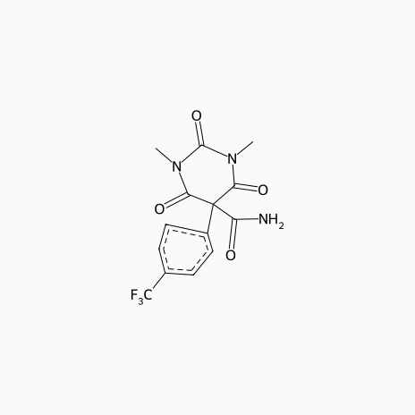 CN1C(=O)N(C)C(=O)C(C(N)=O)(c2ccc(C(F)(F)F)cc2)C1=O